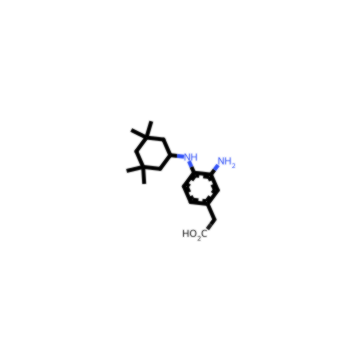 CC1(C)CC(Nc2ccc(CC(=O)O)cc2N)CC(C)(C)C1